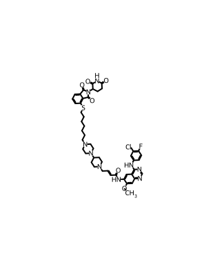 COc1cc2ncnc(Nc3ccc(F)c(Cl)c3)c2cc1NC(=O)/C=C/CN1CCC(N2CCN(CCCCCCCSc3cccc4c3C(=O)N(C3CCC(=O)NC3=O)C4=O)CC2)CC1